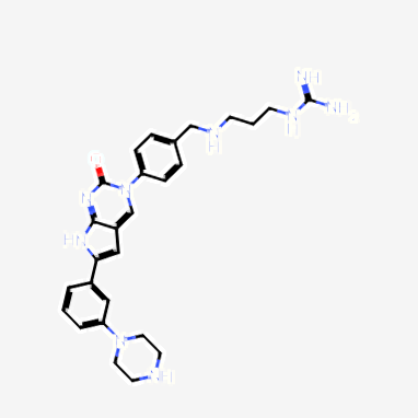 N=C(N)NCCCNCc1ccc(-n2cc3cc(-c4cccc(N5CCNCC5)c4)[nH]c3nc2=O)cc1